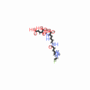 O=C(O)CCC(OC(=O)NC(CCCCNC(=O)CCc1cn(CCF)nn1)C(=O)O)C(=O)O